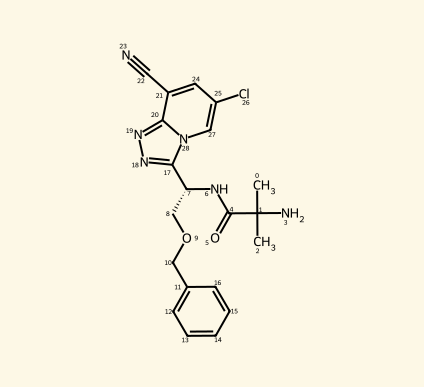 CC(C)(N)C(=O)N[C@H](COCc1ccccc1)c1nnc2c(C#N)cc(Cl)cn12